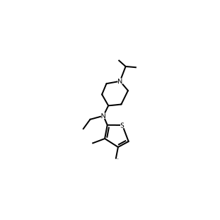 [CH2]c1csc(N(CC)C2CCN(C(C)C)CC2)c1C